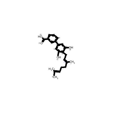 CC(C)=CCC/C(C)=C/Cc1c(O)cc(-c2cccc(C(=O)O)c2)cc1O